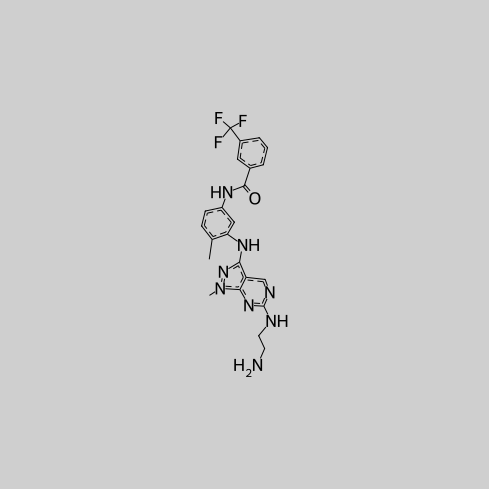 Cc1ccc(NC(=O)c2cccc(C(F)(F)F)c2)cc1Nc1nn(C)c2nc(NCCN)ncc12